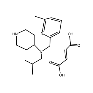 Cc1cccc(CN(CC(C)C)C2CCNCC2)n1.O=C(O)C=CC(=O)O